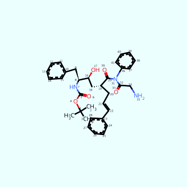 CC(C)(C)OC(=O)N[C@@H](Cc1ccccc1)[C@@H](O)C[C@@H](CC=Cc1ccccc1)C(=O)N(C(=O)CN)c1ccccc1